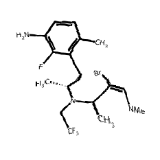 CN/C=C(/Br)C(C)N(CC(F)(F)F)[C@H](C)Cc1c(C)ccc(N)c1F